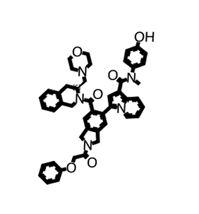 CN(C(=O)c1cc(-c2cc3c(cc2C(=O)N2Cc4ccccc4C[C@H]2CN2CCOCC2)CN(C(=O)COc2ccccc2)C3)n2ccccc12)c1ccc(O)cc1